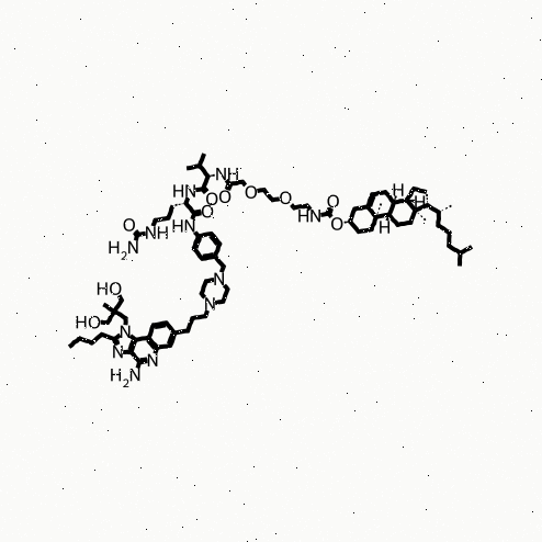 CCCCc1nc2c(N)nc3cc(CCCN4CCN(Cc5ccc(NC(=O)[C@H](CCCNC(N)=O)NC(=O)[C@@H](NC(=O)COCCOCCNC(=O)O[C@H]6CC[C@@]7(C)C(=CC[C@H]8[C@@H]9CC[C@H]([C@H](C)CCCC(C)C)[C@@]9(C)CC[C@@H]87)C6)C(C)C)cc5)CC4)ccc3c2n1CC(C)(CO)CO